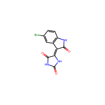 O=C1NC(=O)/C(=C2/C(=O)Nc3ccc(Br)cc32)N1